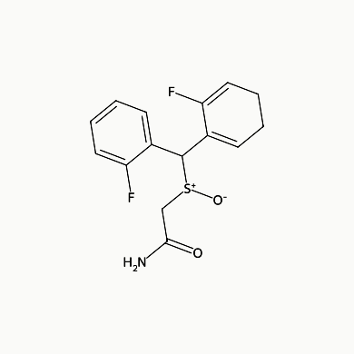 NC(=O)C[S+]([O-])C(C1=CCCC=C1F)c1ccccc1F